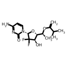 C=C(O[C@@H](C)[C@H]1O[C@@H](n2ccc(N)nc2=O)C(F)(F)[C@@H]1O)C(C)C